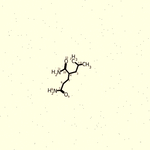 CC(C)CC(CCC(N)=O)C(N)=O